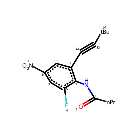 CCCC(=O)Nc1c(F)cc([N+](=O)[O-])cc1C#CC(C)(C)C